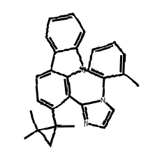 Cc1cccc(C)c1-n1ccnc1-c1c(C2(C)CC2(C)C)ccc2c1oc1ccccc12